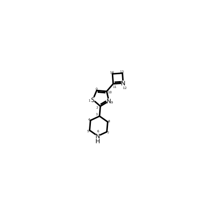 c1sc(C2CCNCC2)nc1C1=NCC1